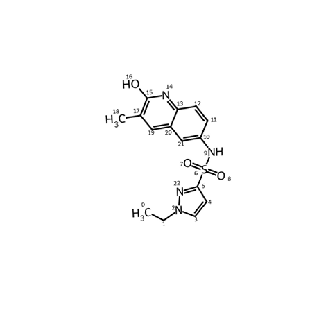 CCn1ccc(S(=O)(=O)Nc2ccc3nc(O)c(C)cc3c2)n1